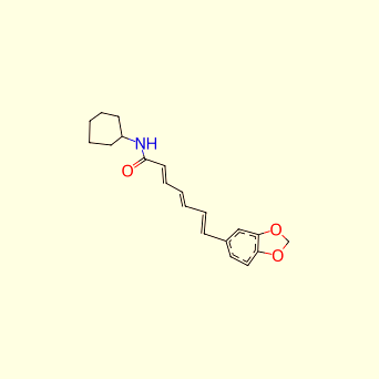 O=C(C=CC=CC=Cc1ccc2c(c1)OCO2)NC1CCCCC1